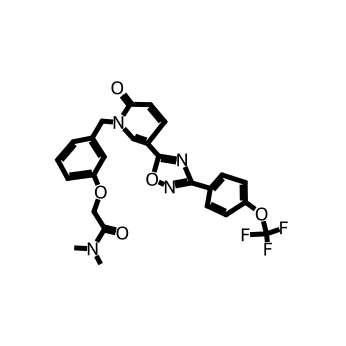 CN(C)C(=O)COc1cccc(Cn2cc(-c3nc(-c4ccc(OC(F)(F)F)cc4)no3)ccc2=O)c1